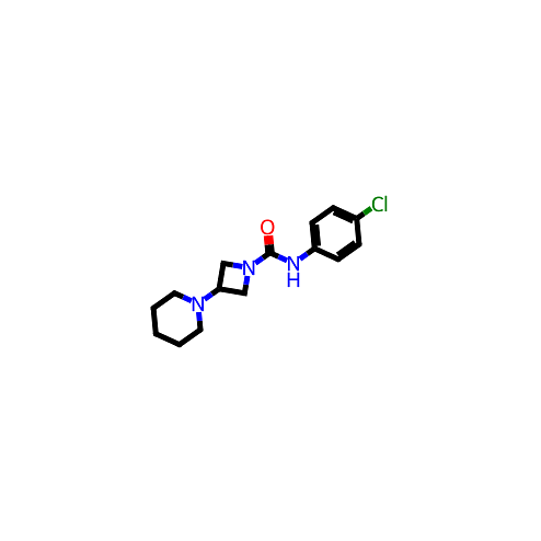 O=C(Nc1ccc(Cl)cc1)N1CC(N2CCCCC2)C1